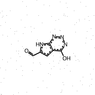 O=Cc1cc2c(O)nnnc2[nH]1